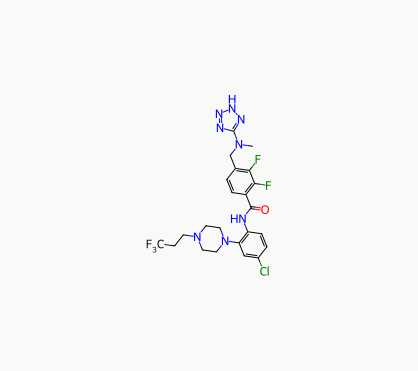 CN(Cc1ccc(C(=O)Nc2ccc(Cl)cc2N2CCN(CCC(F)(F)F)CC2)c(F)c1F)c1nn[nH]n1